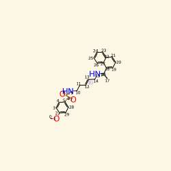 COc1ccc(S(=O)(=O)NCC/C=C/CN[C@H](C)c2cccc3ccccc23)cc1